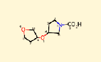 O=C(O)N1CCC(OC2CCOC2)C1